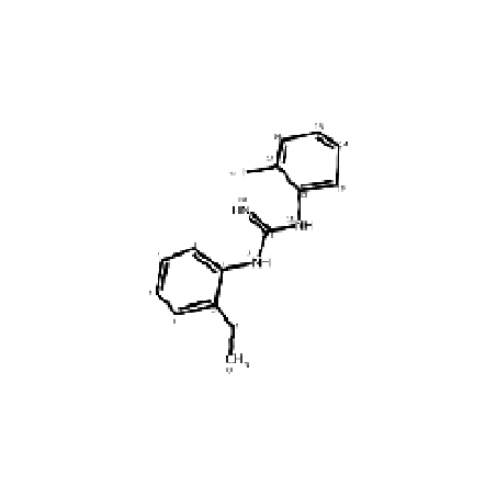 CCc1ccccc1NC(=N)Nc1ccccc1I